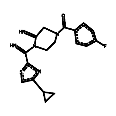 N=C1CN(C(=O)c2ccc(F)cc2)CCN1C(=N)c1nc(C2CC2)cs1